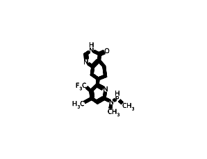 CPN(C)c1cc(C)c(C(F)(F)F)c(C2CCc3c(nc[nH]c3=O)C2)n1